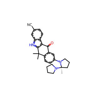 CC1(C)c2ccc(N3CCC[C@@]3(C)N3CCCC3)cc2C(=O)c2c1[nH]c1cc(C#N)ccc21